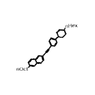 CCCCCCCCc1ccc2cc(C#Cc3ccc(C4CCC(CCCCCC)CC4)cc3)ccc2c1